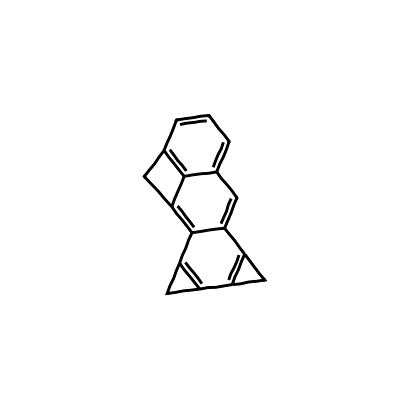 c1cc2c3c(c4c5c(c6c(c4cc3c1)C6)C5)C2